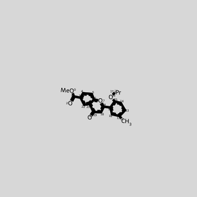 COC(=O)c1ccc2oc(-c3cc(C)ccc3OC(C)C)cc(=O)c2c1